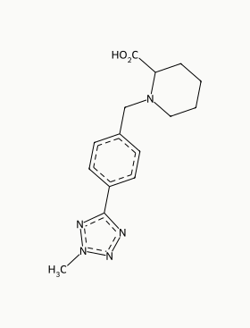 Cn1nnc(-c2ccc(CN3CCCCC3C(=O)O)cc2)n1